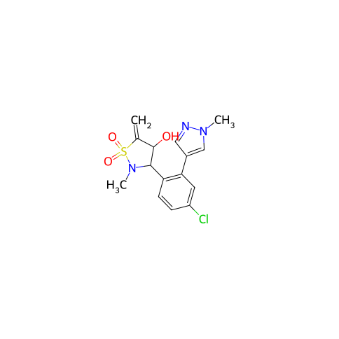 C=C1C(O)C(c2ccc(Cl)cc2-c2cnn(C)c2)N(C)S1(=O)=O